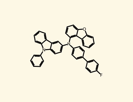 Fc1ccc(-c2ccc(N(c3ccc4c(c3)c3ccccc3n4-c3ccccc3)c3cccc4oc5ccccc5c34)cc2)cc1